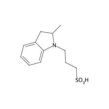 CC1Cc2ccccc2N1CCCS(=O)(=O)O